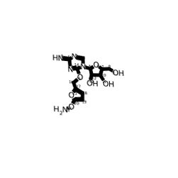 N=c1ncn(C2OC(CO)C(O)C2O)c(OCc2ccc(ON)o2)n1